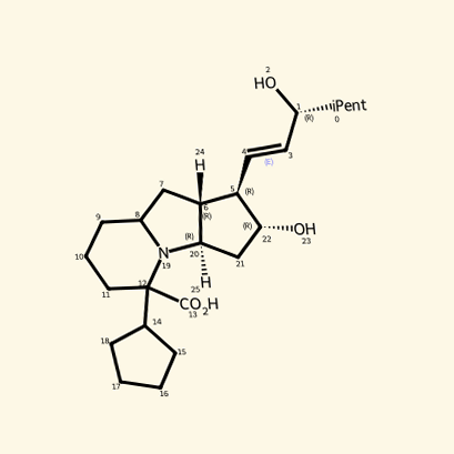 CCCC(C)[C@@H](O)/C=C/[C@@H]1[C@H]2CC3CCCC(C(=O)O)(C4CCCC4)N3[C@@H]2C[C@H]1O